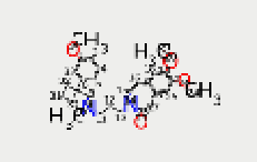 COc1cccc(C2(CN(C)CCCN3C=Cc4cc(OC)c(OC)cc4CC3=O)CCC2)c1